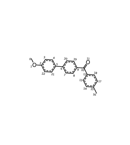 COc1ccc(-c2ccc(C(=O)c3ccc(C)cc3)cc2)cc1